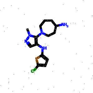 Cn1ncc(Nc2ccc(Cl)s2)c1N1CCCC(N)CC1